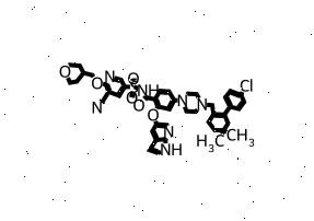 CC1(C)CCC(CN2CCN(c3ccc(C(=O)NS(=O)(=O)c4cnc(OCC5CCOCC5)c(C#N)c4)c(Oc4cnc5[nH]ccc5c4)c3)CC2)=C(c2ccc(Cl)cc2)C1